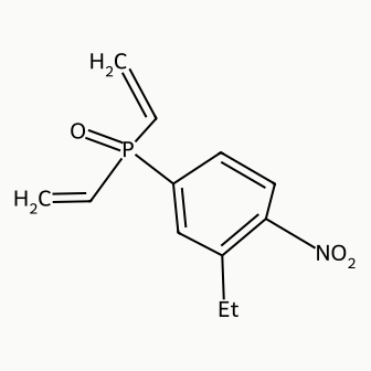 C=CP(=O)(C=C)c1ccc([N+](=O)[O-])c(CC)c1